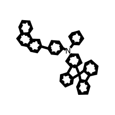 c1ccc(N(c2ccc(-c3ccc4ccc5ccccc5c4c3)cc2)c2ccc3c(c2)-c2ccccc2C32c3ccccc3-c3ccccc32)cc1